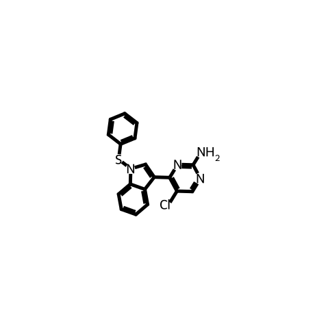 Nc1ncc(Cl)c(-c2cn(Sc3ccccc3)c3ccccc23)n1